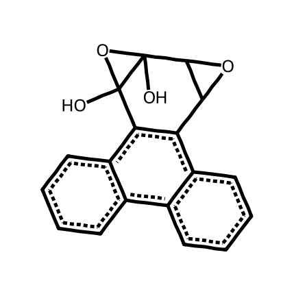 OC12OC1(O)C1OC1c1c2c2ccccc2c2ccccc12